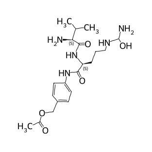 CC(=O)OCc1ccc(NC(=O)[C@H](CCCNC(N)O)NC(=O)[C@@H](N)C(C)C)cc1